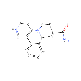 NC(=O)C1CCN(c2ccncc2-c2ccccc2)CC1